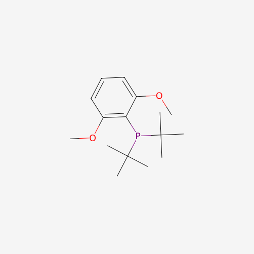 COc1cccc(OC)c1P(C(C)(C)C)C(C)(C)C